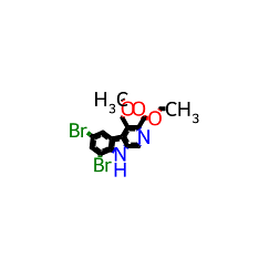 CCOC(=O)c1ncc2[nH]c3c(Br)cc(Br)cc3c2c1COC